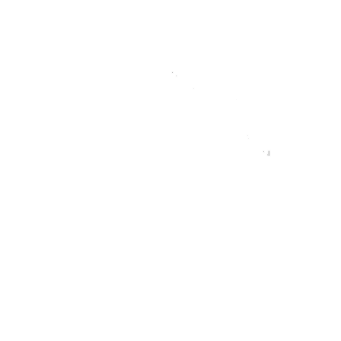 COc1cccc(-c2nc(CS(=O)(=O)CC(=O)NCCc3ccc(Cl)cc3)c(C)o2)c1